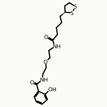 O=C(CCCC[C@H]1CCSS1)NCCOCCNC(=O)c1ccccc1O